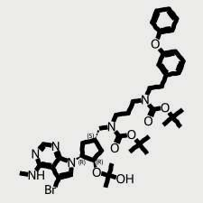 CNc1ncnc2c1c(Br)cn2[C@@H]1C[C@H](CN(CCCN(CCc2cccc(Oc3ccccc3)c2)C(=O)OC(C)(C)C)C(=O)OC(C)(C)C)C[C@H]1OC(C)(C)O